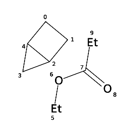 C1CC2CC12.CCOC(=O)CC